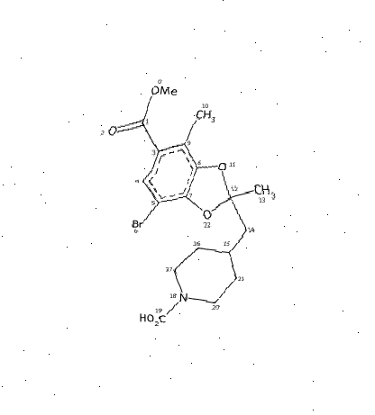 COC(=O)c1cc(Br)c2c(c1C)OC(C)(CC1CCN(C(=O)O)CC1)O2